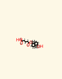 O=C(O)CCCC(=O)O[C@H]1CC[C@H]2[C@@H]1CC[C@@H]2O